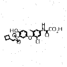 Cc1cc(NC(=O)C(=O)O)cc(Cl)c1Oc1ccc(O)c(S(=O)(=O)CC2CCC2)c1